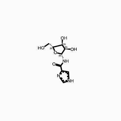 O=C(N[C@@H]1O[C@H](CO)[C@@H](O)[C@H]1O)c1c[nH]cn1